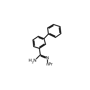 CCCN=C(N)c1cccc(-c2ccccc2)c1